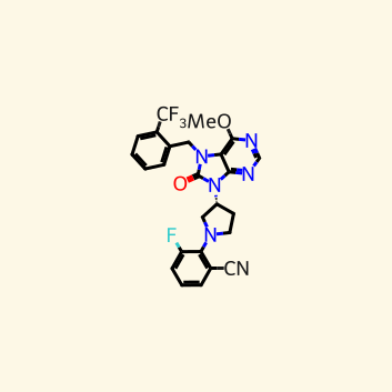 COc1ncnc2c1n(Cc1ccccc1C(F)(F)F)c(=O)n2[C@@H]1CCN(c2c(F)cccc2C#N)C1